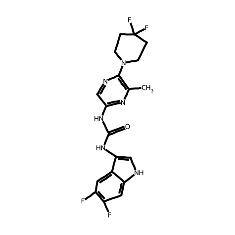 Cc1nc(NC(=O)Nc2c[nH]c3cc(F)c(F)cc23)cnc1N1CCC(F)(F)CC1